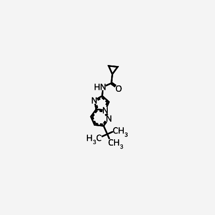 CC(C)(C)c1ccc2nc(NC(=O)C3CC3)cn2n1